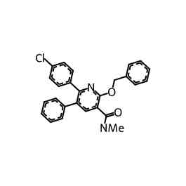 CNC(=O)c1cc(-c2ccccc2)c(-c2ccc(Cl)cc2)nc1OCc1ccccc1